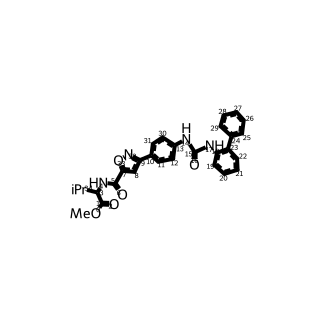 COC(=O)C(NC(=O)c1cc(-c2ccc(NC(=O)Nc3ccccc3-c3ccccc3)cc2)no1)C(C)C